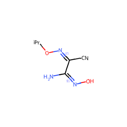 CC(C)O/N=C(C#N)\C(N)=N/O